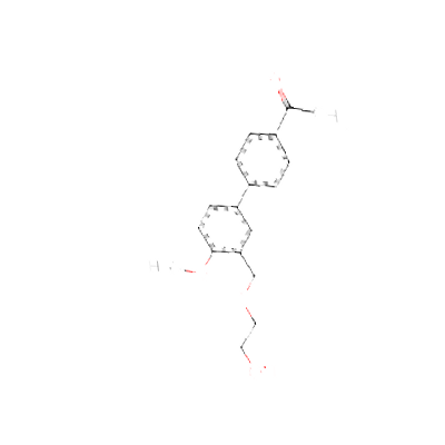 COc1ccc(-c2ccc(C(C)=O)cc2)cc1COCCO